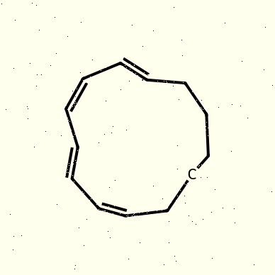 [C]1=C/C=C\C=C\C=C/CCCCC/1